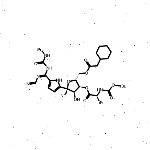 CC(C)NC(=O)N/C(=N/C=N)c1ccc([C@]2(C#N)O[C@H](COC(=O)CC3CCCCC3)[C@@H](OC(=O)[C@@H](NC(=O)OC(C)(C)C)C(C)C)[C@H]2O)[nH]1